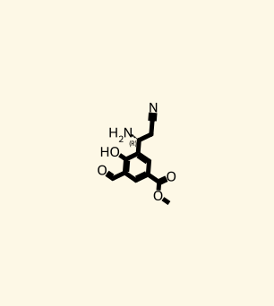 COC(=O)c1cc(C=O)c(O)c([C@H](N)CC#N)c1